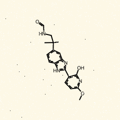 COc1ccc(-c2nc3cc(C(C)(C)CNC=O)ccc3[nH]2)c(O)n1